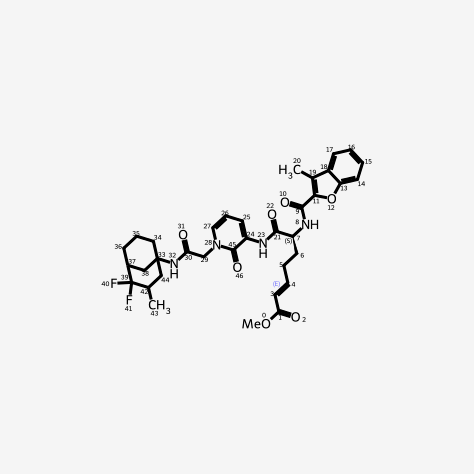 COC(=O)/C=C/CC[C@H](NC(=O)c1oc2ccccc2c1C)C(=O)Nc1cccn(CC(=O)NC23CCCC(C2)C(F)(F)C(C)C3)c1=O